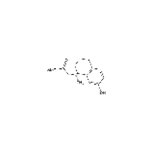 COC(=O)C[C@@]1(C)CCCc2ccc(O)cc21